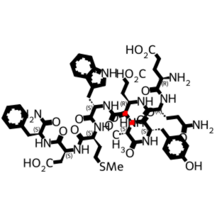 CSCC[C@H](NC(=O)[C@H](Cc1c[nH]c2ccccc12)NC(=O)CNC(=O)[C@H](Cc1ccc(O)cc1)NC(=O)[C@H](C)NC(=O)[C@@H](CCC(=O)O)NC(=O)[C@@H](CCC(N)=O)NC(=O)[C@H](N)CCC(=O)O)C(=O)N[C@@H](CC(=O)O)C(=O)N[C@@H](Cc1ccccc1)C(N)=O